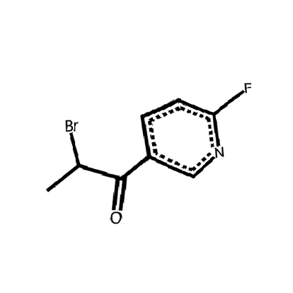 CC(Br)C(=O)c1ccc(F)nc1